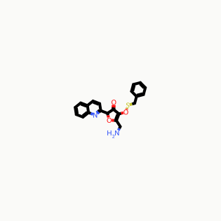 NCC1=C(OSCc2ccccc2)C(=O)C(c2ccc3ccccc3n2)O1